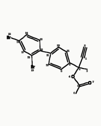 C#CC(C)(OC(C)=O)c1ccc(-c2ccc(Br)cc2Br)cc1